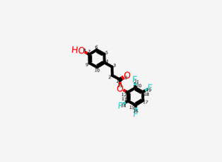 O=C(CCc1ccc(O)cc1)Oc1c(F)c(F)cc(F)c1F